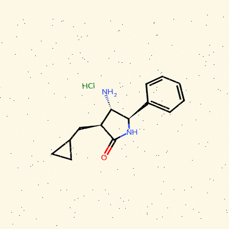 Cl.N[C@H]1[C@H](CC2CC2)C(=O)N[C@@H]1c1ccccc1